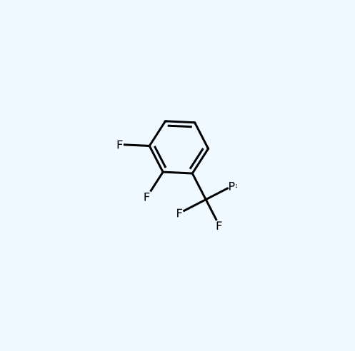 Fc1cccc(C(F)(F)[P])c1F